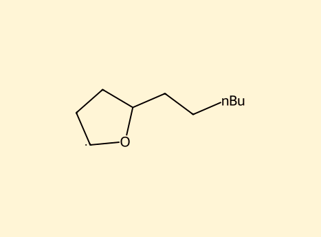 CCCCCCC1CC[CH]O1